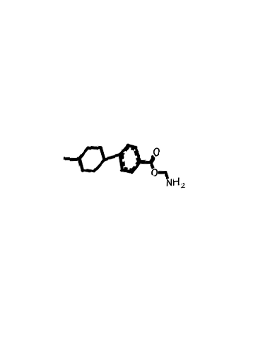 CC1CCC(c2ccc(C(=O)OCN)cc2)CC1